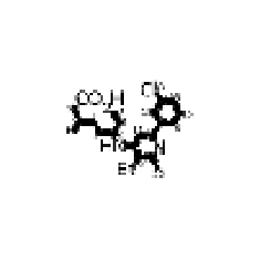 C=C/C(=C\C=C(/C)CC(=O)O)Nc1cc(-c2cccc(Cl)c2)nc(C)c1CC